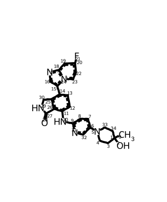 CC1(O)CCN(c2ccc(Nc3ccc(-c4cnc5cc(F)ccn45)c4c3C(=O)NC4)nc2)CC1